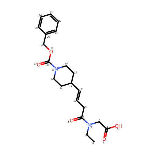 CCN(CC(=O)O)C(=O)C/C=C/C1CCN(C(=O)OCc2ccccc2)CC1